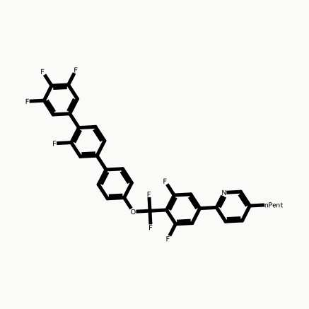 CCCCCc1ccc(-c2cc(F)c(C(F)(F)Oc3ccc(-c4ccc(-c5cc(F)c(F)c(F)c5)c(F)c4)cc3)c(F)c2)nc1